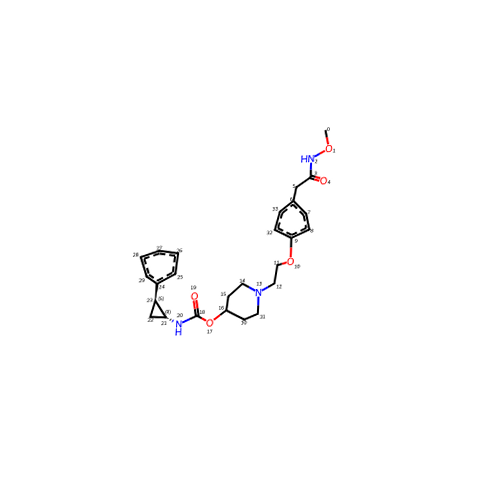 CONC(=O)Cc1ccc(OCCN2CCC(OC(=O)N[C@@H]3C[C@H]3c3ccccc3)CC2)cc1